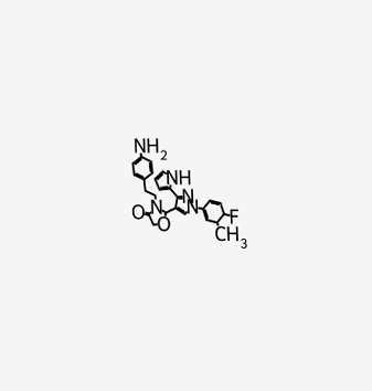 CC1C=C(n2cc(C3OCC(=O)N3CCc3ccc(N)cc3)c(-c3ccc[nH]3)n2)C=CC1F